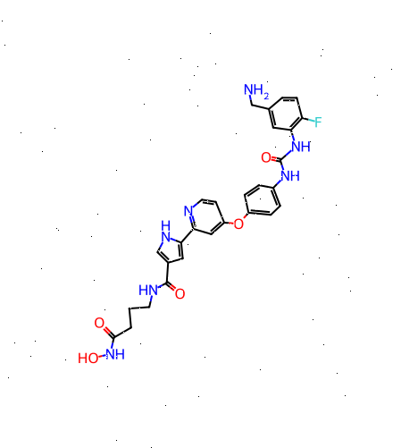 NCc1ccc(F)c(NC(=O)Nc2ccc(Oc3ccnc(-c4cc(C(=O)NCCCC(=O)NO)c[nH]4)c3)cc2)c1